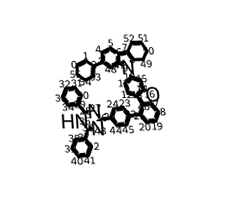 C1=CC(c2ccc3c4c(n(-c5ccc6c(c5)oc5cccc(-c7ccc(C8=NC(c9ccccc9)NC(c9ccccc9)=N8)cc7)c56)c3c2)CCC=C4)=CCC1